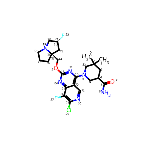 CC1(C)CC(C(N)=O)CN(c2nc(OC[C@@]34CCCN3C[C@H](F)C4)nc3c(F)c(Cl)ncc23)C1